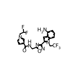 Nc1cccc2c1cc(-c1noc(CNC(=O)c3ccn(CC(F)F)c3)n1)n2CC(F)(F)F